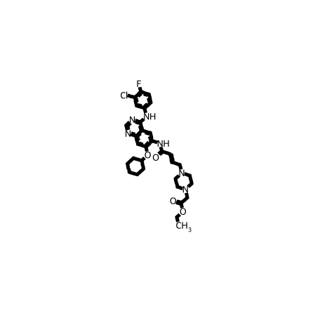 CCOC(=O)CN1CCN(CC=CC(=O)Nc2cc3c(Nc4ccc(F)c(Cl)c4)ncnc3cc2OC2CCCCC2)CC1